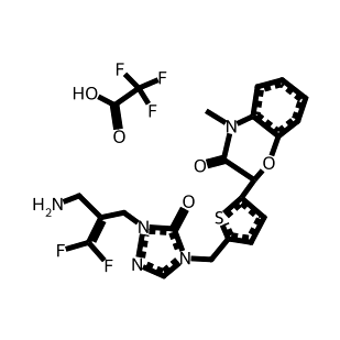 CN1C(=O)C(c2ccc(Cn3cnn(CC(CN)=C(F)F)c3=O)s2)Oc2ccccc21.O=C(O)C(F)(F)F